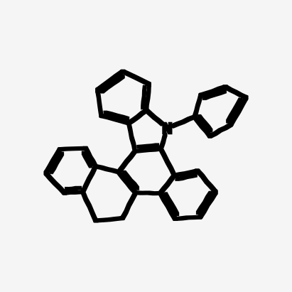 c1ccc(-n2c3ccccc3c3c4c(c5ccccc5c32)CCc2ccccc2-4)cc1